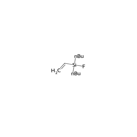 C=C[Si](F)(CCCC)CCCC